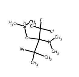 CC(C)C(C)(C)C(O[SiH](C)C)(N(C)C)C(F)(Cl)Cl